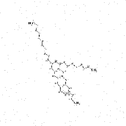 CCCCCCCCCCC[C](CCCCCCCC)CC(CCCCCCCC)CCCCCCCCCC